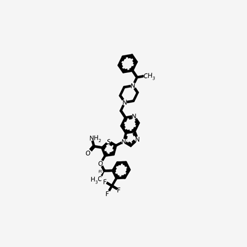 CC(c1ccccc1)N1CCN(Cc2cc3c(cn2)ncn3-c2cc(O[C@H](C)c3ccccc3C(F)(F)F)c(C(N)=O)s2)CC1